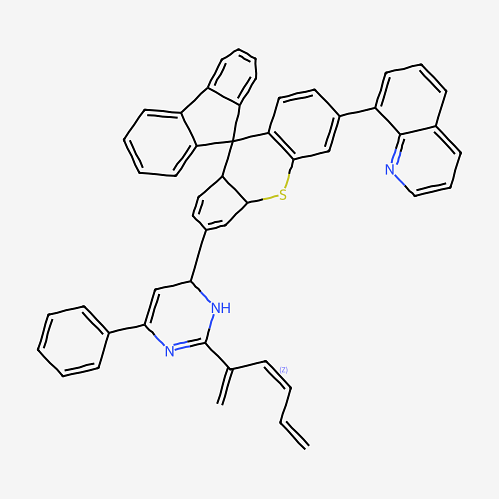 C=C/C=C\C(=C)C1=NC(c2ccccc2)=CC(C2=CC3Sc4cc(-c5cccc6cccnc56)ccc4C4(c5ccccc5-c5ccccc54)C3C=C2)N1